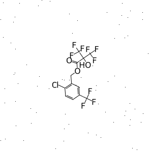 O=C(OCc1cc(C(F)(F)F)ccc1Cl)C(O)(C(F)(F)F)C(F)(F)F